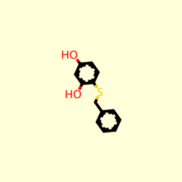 Oc1ccc(SCc2ccccc2)c(O)c1